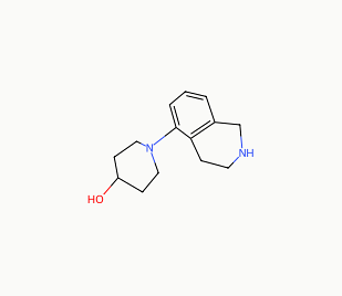 OC1CCN(c2cccc3c2CCNC3)CC1